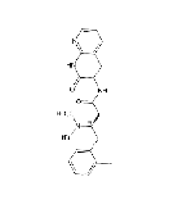 CC(C)(C)N(C(=O)O)[C@@H](CC(=O)NC1Cc2cccnc2NC1=O)Cc1ccccc1F